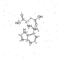 N[C@@H](CC(=O)O)C(=O)O.Nc1ncnc2nc[nH]c12